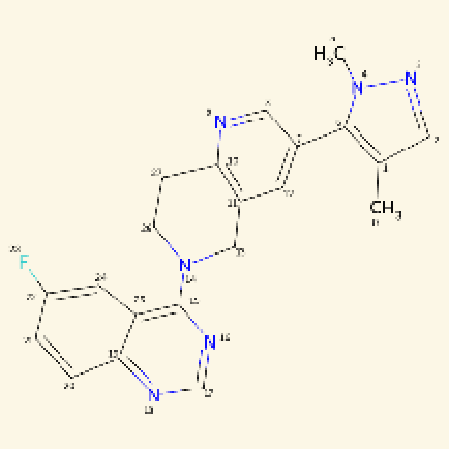 Cc1cnn(C)c1-c1cnc2c(c1)CN(c1ncnc3ccc(F)cc13)CC2